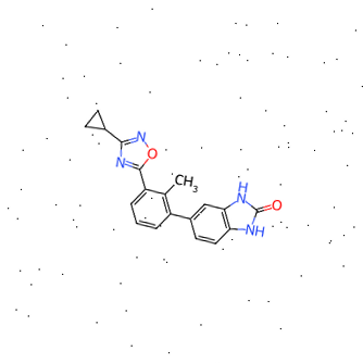 Cc1c(-c2ccc3[nH]c(=O)[nH]c3c2)cccc1-c1nc(C2CC2)no1